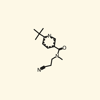 CN(CCC#N)C(=O)c1ccc(C(C)(C)C)nc1